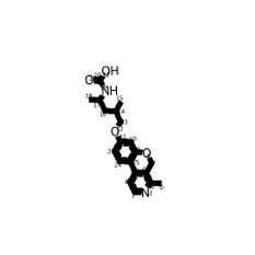 Cc1nccc2c1COc1cc(OCC(C)CC(C)NC(=O)O)ccc1-2